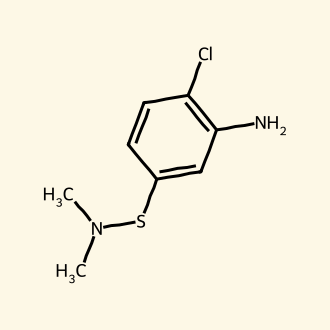 CN(C)Sc1ccc(Cl)c(N)c1